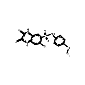 CCc1cc2[nH]c(=O)c(=O)[nH]c2cc1S(=O)(=O)Nc1ccc(OC(F)(F)F)cc1